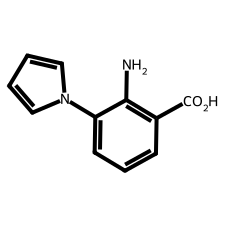 Nc1c(C(=O)O)cccc1-n1cccc1